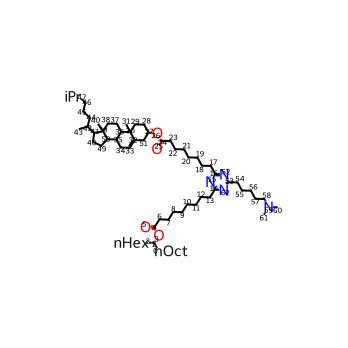 CCCCCCCCC(CCCCCC)OC(=O)CCCCCCCCc1nc(CCCCCCCC(=O)OC2CCC3(C)C(=CCC4C3CCC3(C)C(C(C)CCCC(C)C)CCC43)C2)nc(CCCCCN(C)C)n1